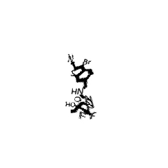 CCC(O)(c1nnc(NCc2ccc3c(Br)c(C#N)sc3c2)o1)C(F)(F)F